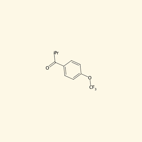 CC(C)C(=O)c1ccc(OC(F)(F)F)cc1